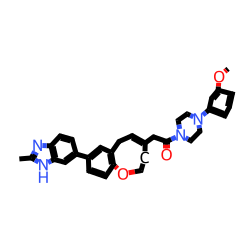 COc1cccc(N2CCN(C(=O)C/C3=C/Cc4cc(-c5ccc6nc(C)[nH]c6c5)ccc4OCC3)CC2)c1